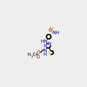 CC(=O)OCCNc1nc(Nc2ccc([SH](=N)=O)cc2)ncc1-c1cccs1